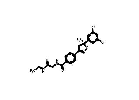 CCc1cc(Cl)cc([C@]2(C(F)(F)F)CC(c3ccc(C(=O)NCC(=O)NCC(F)(F)F)cc3)=NO2)c1